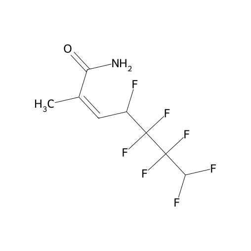 CC(=CC(F)C(F)(F)C(F)(F)C(F)F)C(N)=O